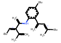 C=C(C)/C(=C\C(C)CC)C(=C)Nc1ccc(C(C)(C)C)cc1C(=C)/C=C(\C)C(C)(C)C